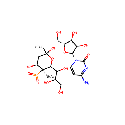 CC(=O)N[C@]1(P(=O)=O)[C@@H](O)CC(O)(C(=O)O)O[C@H]1C(O)C(O)CO.Nc1ccn([C@@H]2O[C@H](CO)[C@@H](O)[C@H]2O)c(=O)n1